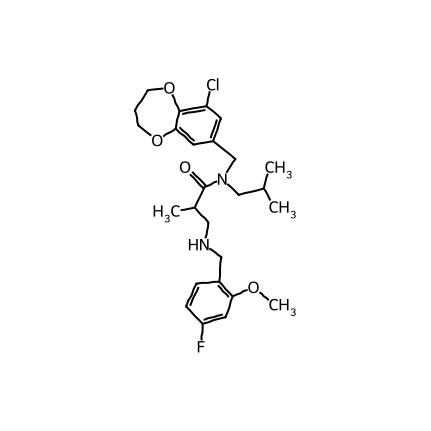 COc1cc(F)ccc1CNCC(C)C(=O)N(Cc1cc(Cl)c2c(c1)OCCCO2)CC(C)C